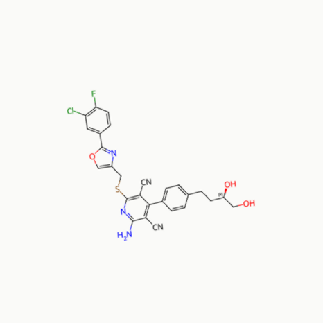 N#Cc1c(N)nc(SCc2coc(-c3ccc(F)c(Cl)c3)n2)c(C#N)c1-c1ccc(CC[C@@H](O)CO)cc1